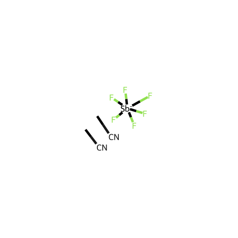 CC#N.CC#N.[F][Sb-]([F])([F])([F])([F])[F]